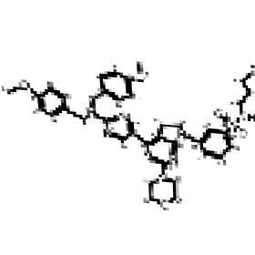 COc1ccc(CN(Cc2ccc(OC)cc2)c2ncc(-c3nc(N4CCOCC4)nc4c3CCN4c3cccc(S(=O)(=O)NCCCO)c3)cn2)cc1